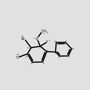 COC1(F)C(c2ccccc2)=CC=C(Cl)C1Br